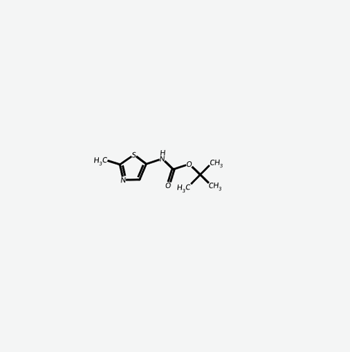 Cc1ncc(NC(=O)OC(C)(C)C)s1